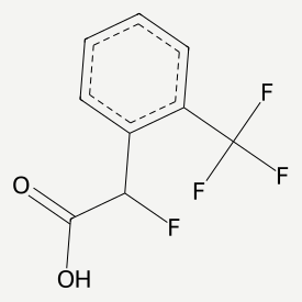 O=C(O)C(F)c1ccccc1C(F)(F)F